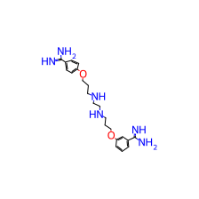 N=C(N)c1ccc(OCCCNCCNCCCOc2cccc(C(=N)N)c2)cc1